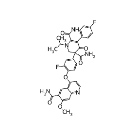 COc1cc2nccc(Oc3ccc(C4(C(N)=O)CN(C(C)C)C(C(N)=O)=C(c5ccc(F)cc5)C4=O)cc3F)c2cc1C(N)=O